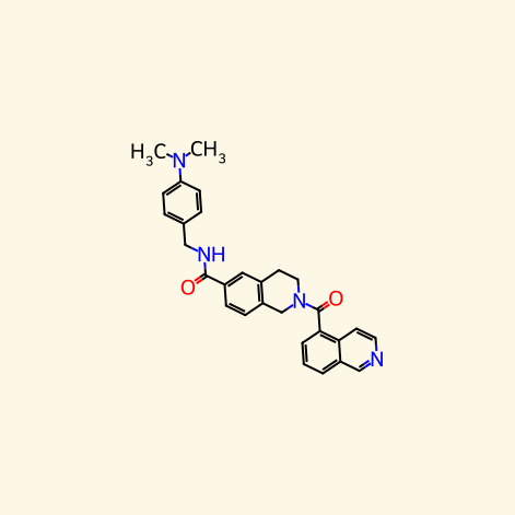 CN(C)c1ccc(CNC(=O)c2ccc3c(c2)CCN(C(=O)c2cccc4cnccc24)C3)cc1